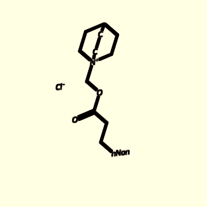 CCCCCCCCCCCC(=O)OC[N+]12CCC(CC1)CC2.[Cl-]